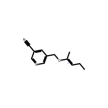 CC/C=C(\C)OCc1cncc(C#N)c1